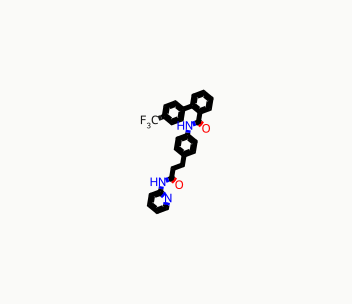 O=C(CCc1ccc(NC(=O)c2ccccc2-c2ccc(C(F)(F)F)cc2)cc1)Nc1ccccn1